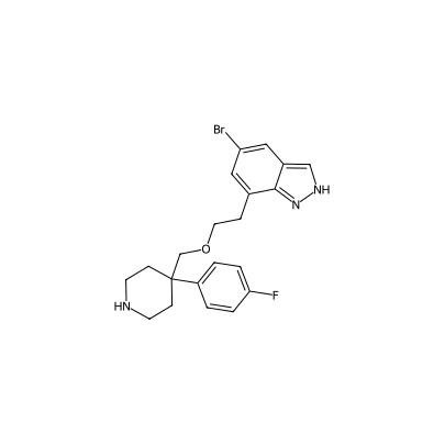 Fc1ccc(C2(COCCc3cc(Br)cc4c[nH]nc34)CCNCC2)cc1